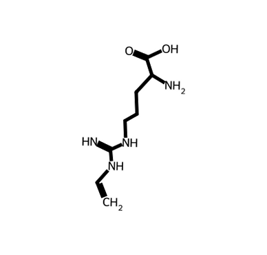 C=CNC(=N)NCCCC(N)C(=O)O